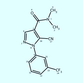 CN(C)C(=O)c1cnn(-c2cccc(C(F)(F)F)c2)c1C#N